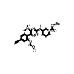 C#Cc1ccc(-c2nnc(NC3CCCN(C(=O)OC(C)(C)C)C3)nc2N(C)C)c(OCOCC)c1